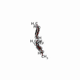 CCCCNC(=O)OCC(F)(F)C(F)(F)C(F)(F)C(F)(F)C(F)(F)C(F)(F)COC(=O)NCCC(C)CC(C)(C)CNC(=O)OCC(F)(F)C(F)(F)C(F)(F)C(F)(F)C(F)(F)C(F)(F)COC(=O)NCCCC